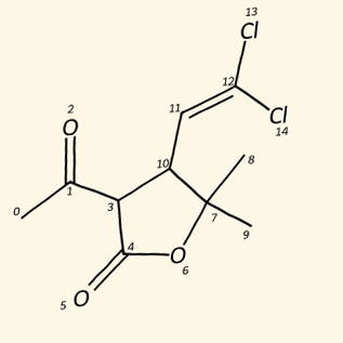 CC(=O)C1C(=O)OC(C)(C)C1C=C(Cl)Cl